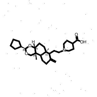 C=C1CCC2[C@@](C)(CC[C@H]3O[C@H](C4CCCC4)OC[C@@]23C)C1CCN1CCC(C(=O)O)CC1